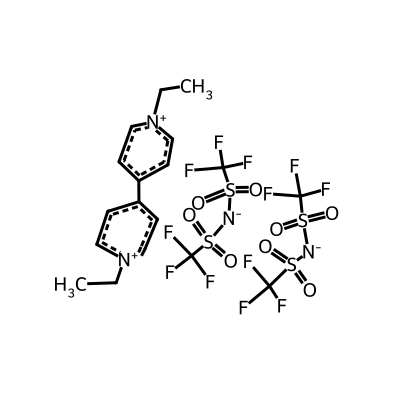 CC[n+]1ccc(-c2cc[n+](CC)cc2)cc1.O=S(=O)([N-]S(=O)(=O)C(F)(F)F)C(F)(F)F.O=S(=O)([N-]S(=O)(=O)C(F)(F)F)C(F)(F)F